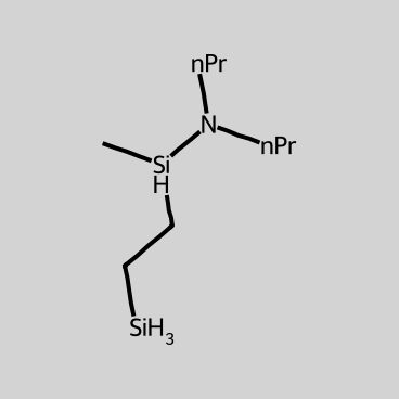 CCCN(CCC)[SiH](C)CC[SiH3]